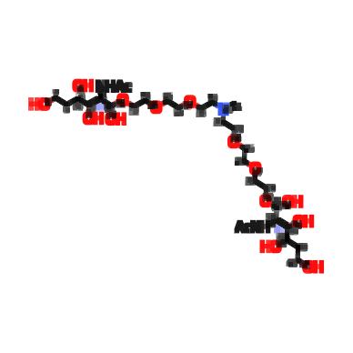 CC(=O)N/C(=C(/O)[C@@H](O)CCO)[C@@H](O)OCCOCCOCCN(C)CCOCCOCCO[C@H](O)/C(NC(C)=O)=C(\O)[C@@H](O)CCO